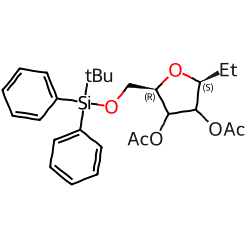 CC[C@@H]1O[C@H](CO[Si](c2ccccc2)(c2ccccc2)C(C)(C)C)C(OC(C)=O)C1OC(C)=O